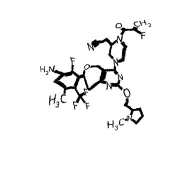 C=C(F)C(=O)N1CCN(c2nc(OCC3CCCN3C)nc3c2COC(c2c(F)c(N)cc(C)c2C(F)(F)F)C3)CC1CC#N